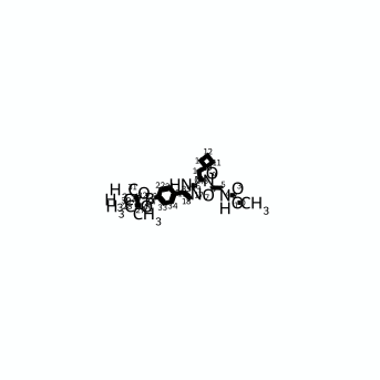 COC(=O)NCC(=O)N1OC2(CCC2)C[C@H]1c1ncc(-c2ccc(B3OC(C)(C)C(C)(C)O3)cc2)[nH]1